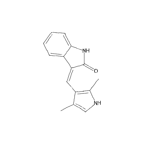 Cc1c[nH]c(C)c1/C=C1\C(=O)Nc2ccccc21